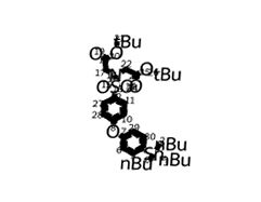 CCC[CH2][Sn]([CH2]CCC)([CH2]CCC)[c]1ccc(Oc2ccc(S(=O)(=O)N(CC(=O)OC(C)(C)C)CC(=O)OC(C)(C)C)cc2)cc1